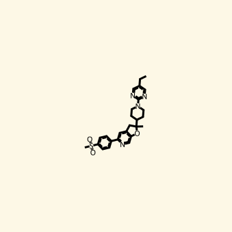 CCc1cnc(N2CCC(C3(C)Cc4cc(-c5ccc(S(C)(=O)=O)cc5)ncc4O3)CC2)nc1